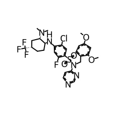 COc1ccc(CN(c2ccncn2)S(=O)(=O)c2cc(Cl)c(N[C@H]3CC[C@H](C(F)(F)F)C[C@@H]3N(C)C)cc2F)c(OC)c1